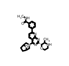 CNC(=O)c1cccc(-c2ccc3c(N4CC5CCC(C4)O5)nc([C@H]4OCCNC4C)nc3n2)c1